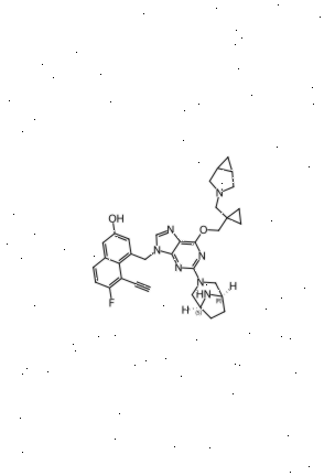 C#Cc1c(F)ccc2cc(O)cc(Cn3cnc4c(OCC5(CN6CC7CC7C6)CC5)nc(N5C[C@H]6CC[C@@H](C5)N6)nc43)c12